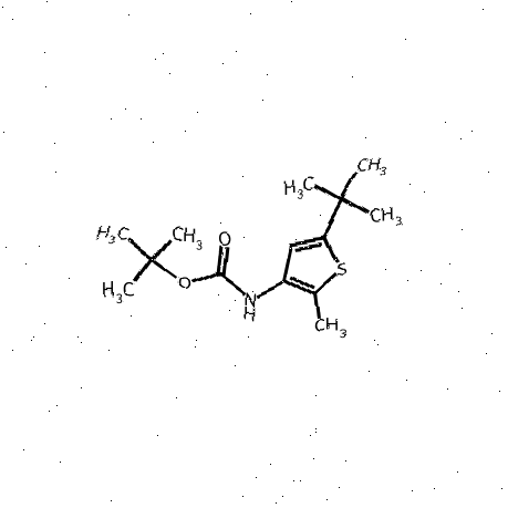 Cc1sc(C(C)(C)C)cc1NC(=O)OC(C)(C)C